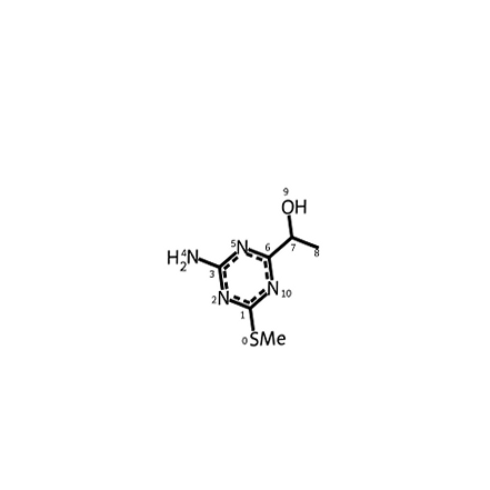 CSc1nc(N)nc(C(C)O)n1